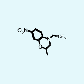 CC1CN(CC(F)(F)F)c2ccc([N+](=O)[O-])cc2O1